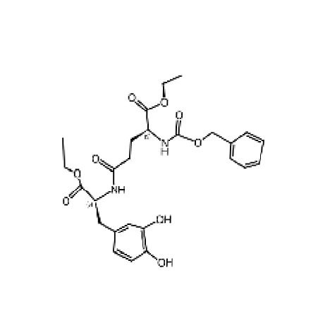 CCOC(=O)[C@H](Cc1ccc(O)c(O)c1)NC(=O)CC[C@H](NC(=O)OCc1ccccc1)C(=O)OCC